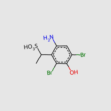 CC(c1c(N)cc(Br)c(O)c1Br)S(=O)(=O)O